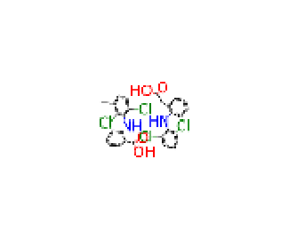 Cc1ccc(Cl)c(Nc2ccccc2C(=O)O)c1Cl.O=C(O)Cc1ccccc1Nc1c(Cl)cccc1Cl